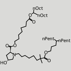 CCCCCCCCC(CCCCCCCC)OC(=O)CCCCCCCOC(=O)[C@@H]1C[C@@H](O)CN1CCCCCCC(C)(C)C(=O)OCCCC(CCCCC)CCCCC